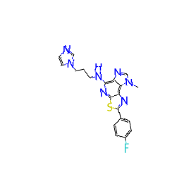 Cn1cnc2c(NCCCn3ccnc3)nc3sc(-c4ccc(F)cc4)nc3c21